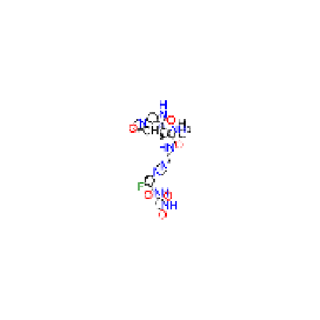 Cc1[nH]c2c(c1C(=O)NCCCN1CCN(c3ccc(F)c(C(=O)NC4CCC(=O)NC4=O)c3)CC1)CC/C2=C1/C(=O)Nc2ccc(N3CCOC[C@H]3C)cc21